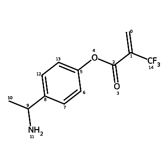 C=C(C(=O)Oc1ccc(C(C)N)cc1)C(F)(F)F